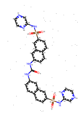 O=C(Nc1ccc2ccc(S(=O)(=O)Nc3cnccn3)cc2c1)Nc1ccc2ccc(S(=O)(=O)Nc3cnccn3)cc2c1